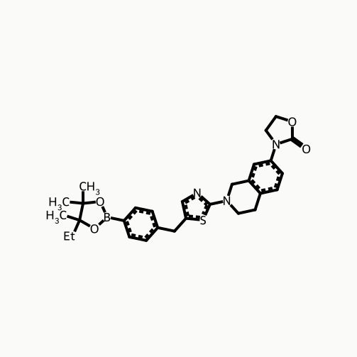 CCC1(C)OB(c2ccc(Cc3cnc(N4CCc5ccc(N6CCOC6=O)cc5C4)s3)cc2)OC1(C)C